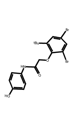 CC(C)(C)c1cc(Br)cc(Br)c1OCC(=O)Nc1ccc(O)cc1